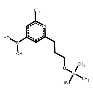 CC(C)(C)[Si](C)(C)OCCCc1cc(B(O)O)cc(C(F)(F)F)n1